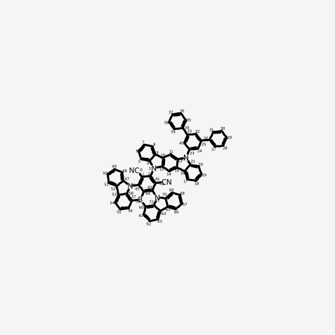 N#Cc1c(-n2c3ccccc3c3cc4c(cc32)c2ccccc2n4-c2cc(-c3ccccc3)cc(-c3ccccc3)c2)c(C#N)c2c3c1-n1c4ccccc4c4cccc(c41)B3c1cccc3c4ccccc4n-2c13